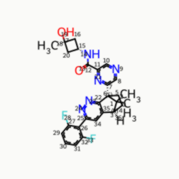 CC1(C)[C@H]2CC[C@]1(c1cncc(C(=O)N[C@H]3C[C@](C)(O)C3)n1)c1nnc(-c3c(F)cccc3F)cc12